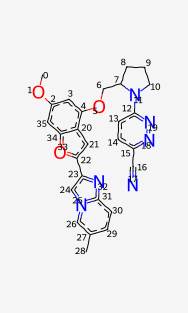 COc1cc(OCC2CCCN2c2ccc(C#N)nn2)c2cc(-c3cn4cc(C)ccc4n3)oc2c1